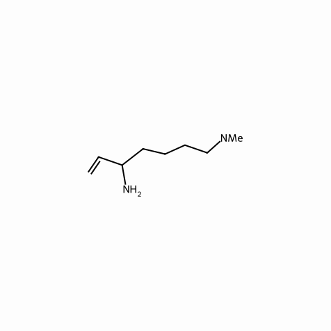 C=CC(N)CCCCNC